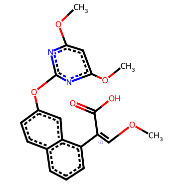 CO/C=C(\C(=O)O)c1cccc2ccc(Oc3nc(OC)cc(OC)n3)cc12